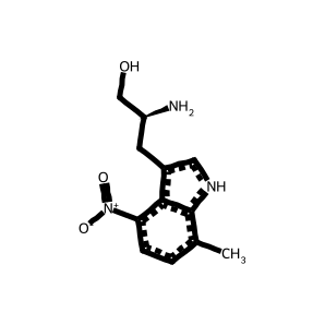 Cc1ccc([N+](=O)[O-])c2c(C[C@H](N)CO)c[nH]c12